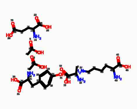 CC(=O)O.CC(=O)O.CC(N)C(=O)O.NC(CCC(=O)O)C(=O)O.NC(Cc1ccc(O)cc1)C(=O)O.NCCCCC(N)C(=O)O